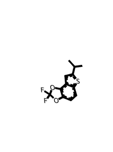 CC(C)c1cc2c3c(ccc2s1)OC(F)(F)O3